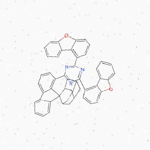 c1ccc2c(c1)-c1cccc(-c3nc(-c4cccc5oc6ccccc6c45)nc(-c4cccc5oc6ccccc6c45)n3)c1C21C2CC3CC(C2)CC1C3